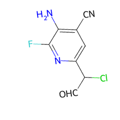 N#Cc1cc(C(Cl)C=O)nc(F)c1N